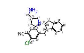 N#Cc1ccc(C[C@@H]2c3ccccc3C[C@H]2N2CC[C@@H](CN)C2)cc1Cl